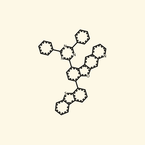 c1ccc(-c2nc(-c3ccccc3)nc(-c3ccc(-c4cccc5c4sc4ccccc45)c4oc5cc6ncccc6cc5c34)n2)cc1